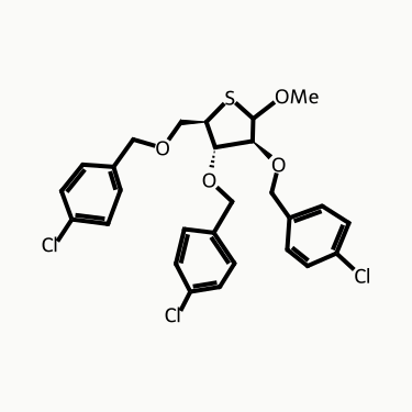 COC1S[C@H](COCc2ccc(Cl)cc2)[C@@H](OCc2ccc(Cl)cc2)[C@@H]1OCc1ccc(Cl)cc1